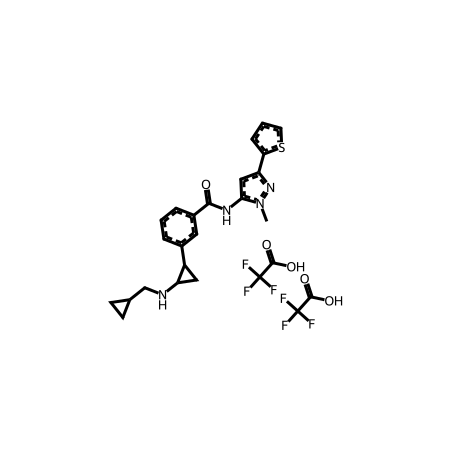 Cn1nc(-c2cccs2)cc1NC(=O)c1cccc(C2CC2NCC2CC2)c1.O=C(O)C(F)(F)F.O=C(O)C(F)(F)F